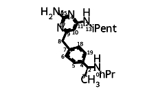 CCCN[C@@H](C)c1ccc(Cc2cc(N[C@H](C)CCC)nc(N)n2)cc1